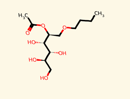 CCCCOC[C@H](OC(C)=O)[C@@H](O)[C@H](O)[C@H](O)CO